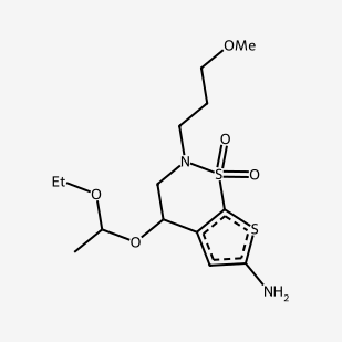 CCOC(C)OC1CN(CCCOC)S(=O)(=O)c2sc(N)cc21